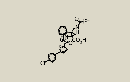 CC(C)C(=O)NC[C@@]1(c2ccccc2)CC1(NS(=O)(=O)c1ccc(-c2ccc(Cl)cc2)s1)C(=O)O